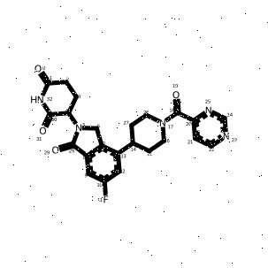 O=C1CCC(N2Cc3c(cc(F)cc3C3CCN(C(=O)c4ccncn4)CC3)C2=O)C(=O)N1